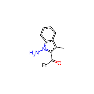 CCC(=O)c1c(C)c2ccccc2n1N